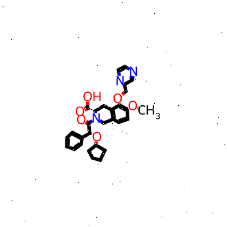 COc1ccc2c(c1OCc1cnccn1)C[C@@H](C(=O)O)N(C(=O)[C@H](OC1CCCC1)c1ccccc1)C2